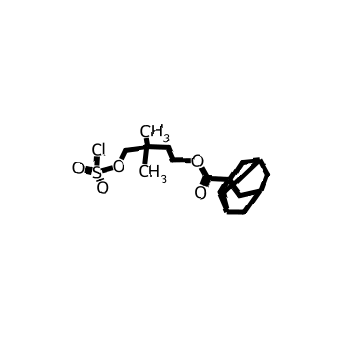 CC(C)(CCOC(=O)C12CC3CC(CC(C3)C1)C2)COS(=O)(=O)Cl